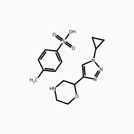 Cc1ccc(S(=O)(=O)O)cc1.c1c(C2CNCCO2)nnn1C1CC1